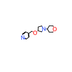 c1cc(CO[C@@H]2CCN(C3CCOCC3)C2)ccn1